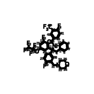 O=C(NC(Cc1ccccc1)(c1cc(F)cc(OC(F)(F)C(F)F)c1)c1ccc(F)c(CN2CCOCC2)c1)c1ccc(F)c(C(F)(F)F)c1